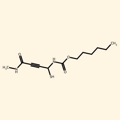 CCCCCCOC(=O)NC(S)C#CC(=O)NC